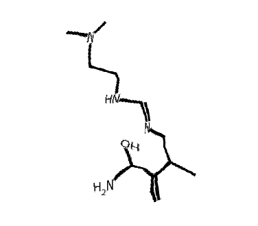 C=C(C(N)O)C(C)C/N=C/NCCN(C)C